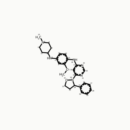 COc1cc(NC2CCN(C)CC2)ccc1Nc1cc(N2OCCC2c2ccccc2)ncn1